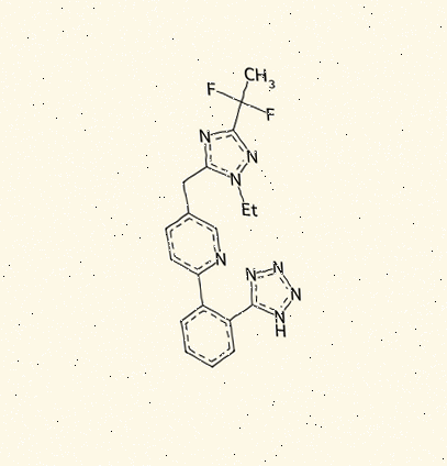 CCn1nc(C(C)(F)F)nc1Cc1ccc(-c2ccccc2-c2nnn[nH]2)nc1